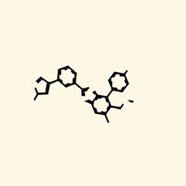 CC(=O)[C@@H](OC(C)(C)C)c1c(C)cc2nc(-c3cccc(C4=CC(C(C)(C)C)N=C4)c3)sc2c1-c1ccc(Cl)cc1